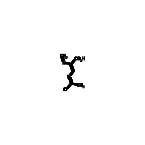 C=N/C(=C\N=C(/C)Cl)C(=O)O